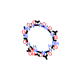 C=C1C(=O)N(C)[C@@H](CC(C)(C)O)C(=O)N[C@@H](C(C)C)C(=O)N(C)[C@H](CC(C)C)C(=O)N[C@H](C)C(=O)NC(C)C(=O)N(C)[C@@H](CC(C)C)C(=O)N(C)C(=O)N(C)[C@@H](C(C)C)C(=O)N(C)C(=O)N[C@@H](CC)C(=O)N1C